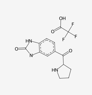 O=C(O)C(F)(F)F.O=C1[N]c2cc(C(=O)C3CCCN3)ccc2N1